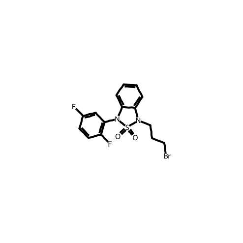 O=S1(=O)N(CCCBr)c2ccccc2N1c1cc(F)ccc1F